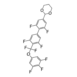 Fc1cc(OC(F)(F)c2c(F)cc(-c3c(F)cc(C4OCCCO4)cc3F)cc2F)cc(F)c1F